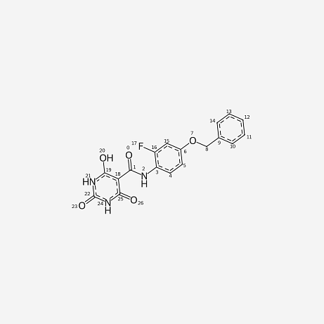 O=C(Nc1ccc(OCc2ccccc2)cc1F)c1c(O)[nH]c(=O)[nH]c1=O